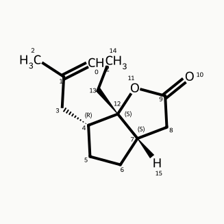 C=C(C)C[C@H]1CC[C@H]2CC(=O)O[C@@]12CC